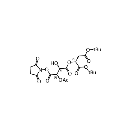 CC(=O)O[C@@H](C(=O)ON1C(=O)CCC1=O)[C@@H](O)C(=O)O[C@@H](CC(=O)OC(C)(C)C)C(=O)OC(C)(C)C